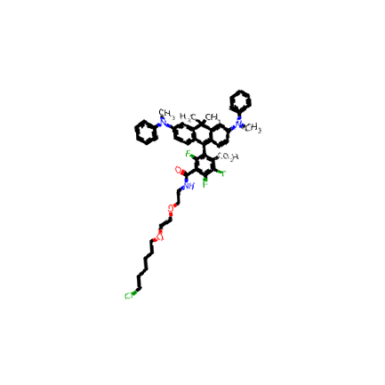 CN(c1ccccc1)c1ccc2c(c1)C(C)(C)C1=CC(N(C)c3ccccc3)C=CC1=C2c1c(F)c(C(=O)NCCOCCOCCCCCCCl)c(F)c(F)c1C(=O)O